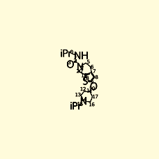 CC(C)NC(=O)N1CCc2cc(OC3CCN(C(C)C)CC3)sc2C1